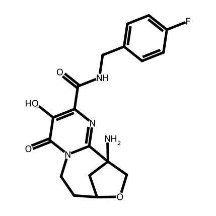 NC12COC(CCn3c1nc(C(=O)NCc1ccc(F)cc1)c(O)c3=O)C2